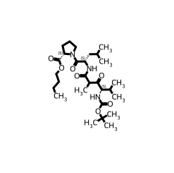 CCCCOC(=O)[C@@H]1CCCN1C(=O)[C@H](CC(C)C)NC(=O)C(C)C(=O)[C@@H](NC(=O)OC(C)(C)C)C(C)C